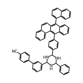 N#Cc1ccc(-c2cccc(C3NC(c4ccccc4)NC(c4ccc(-c5c6ccccc6c(-c6cccc7ccccc67)c6ccc7ccccc7c56)cc4)N3)c2)cc1